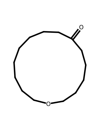 O=C1CCCCCCCCOCCCCC1